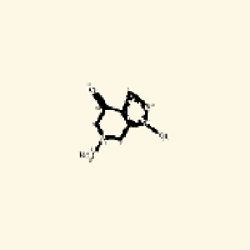 Cn1ncc2c1CN(C(=O)O)CC2=O